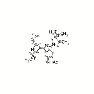 CC(=O)Nc1cc2c(cn1)c(N1CC(N(C)C)[C@@H](C)C1)nn2-c1cc(OC2CC2)nc(C(C)(F)F)n1